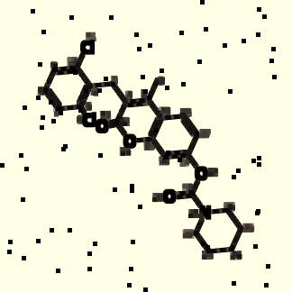 Cc1c(Cc2c(Cl)cccc2Cl)c(=O)oc2cc(OC(=O)N3CCCCC3)ccc12